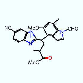 COC(=O)C(C)CC(c1nc2ccc(C#N)cc2[nH]1)c1c(OC)cc(C)c2c1ccn2C=O